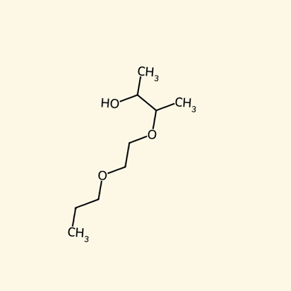 CCCOCCOC(C)C(C)O